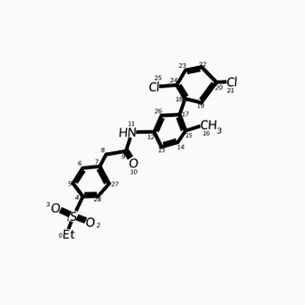 CCS(=O)(=O)c1ccc(CC(=O)Nc2ccc(C)c(-c3cc(Cl)ccc3Cl)c2)cc1